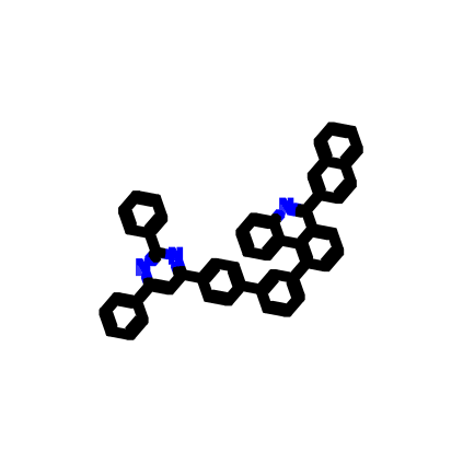 c1ccc(-c2cc(-c3ccc(-c4cccc(-c5cccc6c(-c7ccc8ccccc8c7)nc7ccccc7c56)c4)cc3)nc(-c3ccccc3)n2)cc1